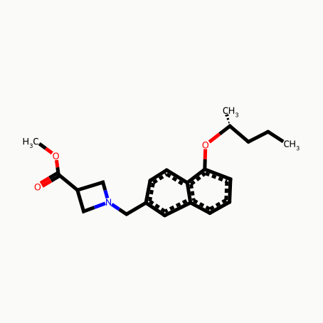 CCC[C@@H](C)Oc1cccc2cc(CN3CC(C(=O)OC)C3)ccc12